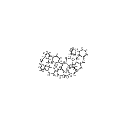 c1ccc2c(c1)Oc1ccccc1C21c2ccccc2-c2cc(N(c3cccc4c3-c3ccccc3C43c4ccccc4Oc4ccccc43)c3cccc4oc5ccccc5c34)ccc21